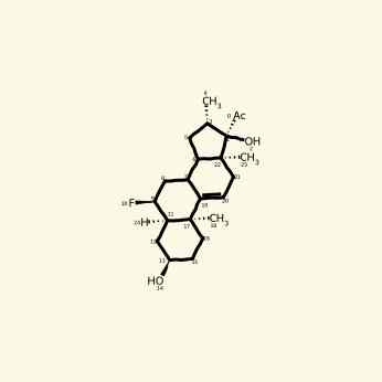 CC(=O)[C@@]1(O)[C@@H](C)CC2C3C[C@H](F)[C@@H]4C[C@H](O)CC[C@]4(C)C3=CC[C@@]21C